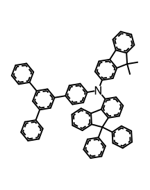 CC1(C)c2ccccc2-c2ccc(N(c3ccc(-c4cc(-c5ccccc5)cc(-c5ccccc5)c4)cc3)c3cccc4c3-c3ccccc3C4(c3ccccc3)c3ccccc3)cc21